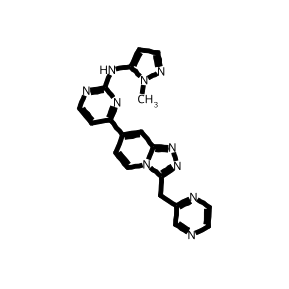 Cn1nccc1Nc1nccc(-c2ccn3c(Cc4cnccn4)nnc3c2)n1